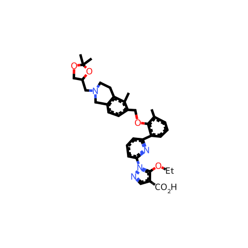 CCOc1c(C(=O)O)cnn1-c1cccc(-c2cccc(C)c2OCc2ccc3c(c2C)CCN(CC2COC(C)(C)O2)C3)n1